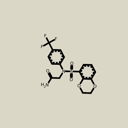 NC(=O)CN(c1ccc(C(F)(F)F)cc1)S(=O)(=O)c1cccc2c1OCCO2